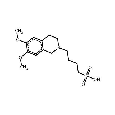 COc1cc2c(cc1OC)CN(CCCCS(=O)(=O)O)CC2